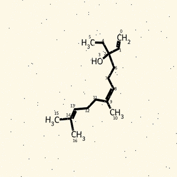 C=CC(O)(CC)CCC=C(C)CCC=C(C)C